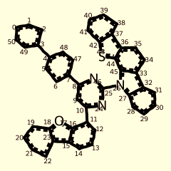 c1ccc(-c2ccc(-c3cc(-c4cccc5c4oc4ccccc45)nc(-n4c5ccccc5c5ccc6c7ccccc7sc6c54)n3)cc2)cc1